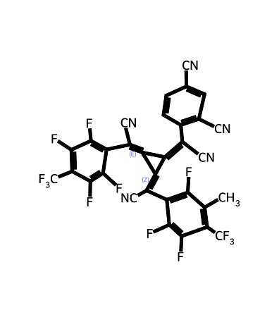 Cc1c(F)c(/C(C#N)=C2\C(=C(C#N)c3ccc(C#N)cc3C#N)\C2=C(/C#N)c2c(F)c(F)c(C(F)(F)F)c(F)c2F)c(F)c(F)c1C(F)(F)F